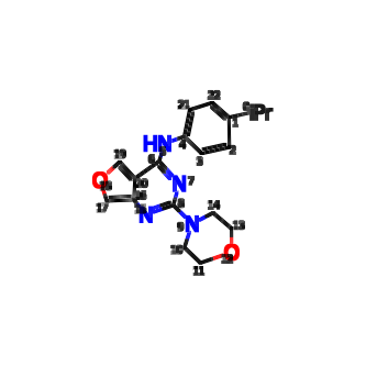 CC(C)c1ccc(Nc2nc(N3CCOCC3)nc3cocc23)cc1